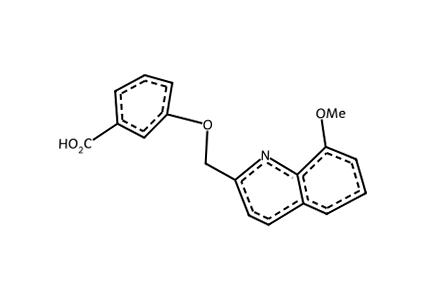 COc1cccc2ccc(COc3cccc(C(=O)O)c3)nc12